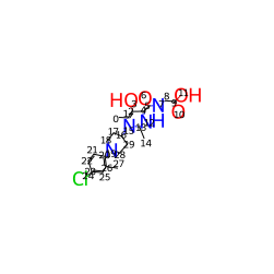 CC1=C(O)C(C(=O)NCC(=O)O)=NC(C)N1C1CCN(c2ccc(Cl)cc2C)CC1